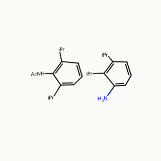 CC(=O)Nc1c(C(C)C)cccc1C(C)C.CC(C)c1cccc(N)c1C(C)C